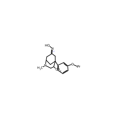 CC(C)Oc1cccc(C23C/C(=N/O)CC(C2)N(C)CC3C)c1